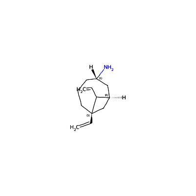 C=CC1[C@H]2C[C@@H](N)CCC[C@@]1(C=C)C2